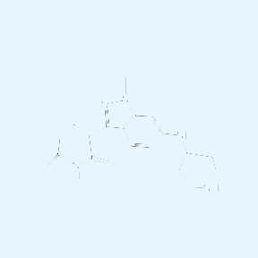 Cl.Cn1nc(C2CCC(=O)NC2=O)c2ccc(NC3CCNCC3)cc21